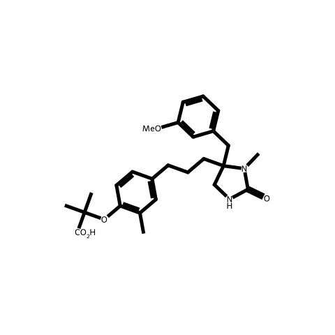 COc1cccc(CC2(CCCc3ccc(OC(C)(C)C(=O)O)c(C)c3)CNC(=O)N2C)c1